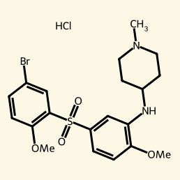 COc1ccc(S(=O)(=O)c2cc(Br)ccc2OC)cc1NC1CCN(C)CC1.Cl